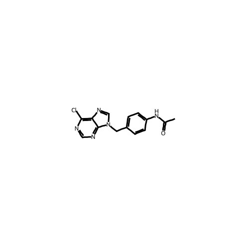 CC(=O)Nc1ccc(Cn2cnc3c(Cl)ncnc32)cc1